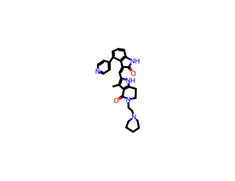 Cc1c(C=C2C(=O)Nc3cccc(-c4ccncc4)c32)[nH]c2c1C(=O)N(CCN1CCCCC1)CC2